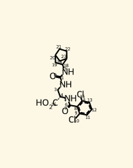 O=C(NC[C@H](NC(=O)c1c(Cl)cccc1Cl)C(=O)O)NC1CC2CCC1C2